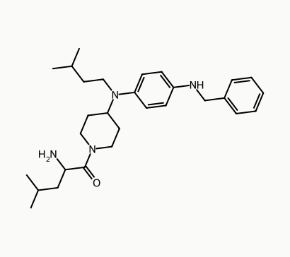 CC(C)CCN(c1ccc(NCc2ccccc2)cc1)C1CCN(C(=O)C(N)CC(C)C)CC1